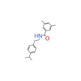 Cc1cc(C)cc(C(=O)NCCc2ccc(C(C)C)cc2)c1